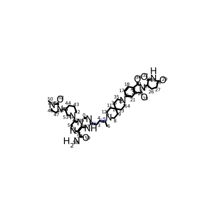 C=N/C(=C\C=C(/C)N1CCC2(CC1)CCN(c1ccc3c(c1)C(=O)N(C1CCC(=O)NC1=O)C3=O)CC2)Nc1nc(N2CCC[C@H](N3CCN(C)C3=O)C2)cnc1C(N)=O